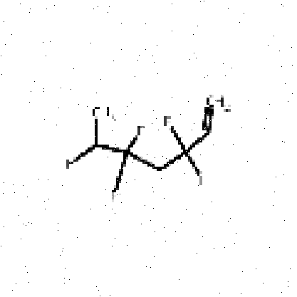 C=CC(F)(F)CC(F)(F)C(C)F